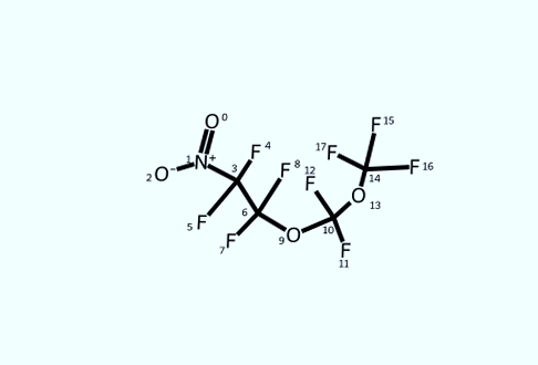 O=[N+]([O-])C(F)(F)C(F)(F)OC(F)(F)OC(F)(F)F